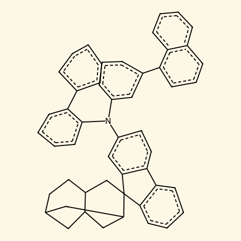 c1ccc(-c2ccccc2N(c2cccc(-c3cccc4ccccc34)c2)c2ccc3c(c2)C2(CC4CCC5CC4CC2C5)c2ccccc2-3)cc1